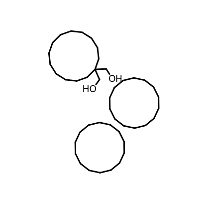 C1CCCCCCCCCCCCC1.C1CCCCCCCCCCCCC1.OCC1(CO)CCCCCCCCCCCCC1